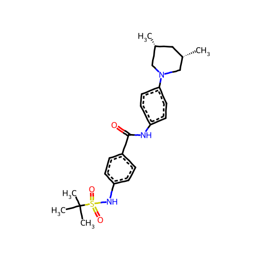 C[C@@H]1C[C@H](C)CN(c2ccc(NC(=O)c3ccc(NS(=O)(=O)C(C)(C)C)cc3)cc2)C1